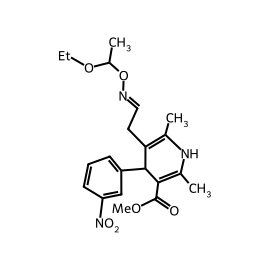 CCOC(C)ON=CCC1=C(C)NC(C)=C(C(=O)OC)C1c1cccc([N+](=O)[O-])c1